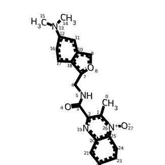 Cc1c(C(=O)NCc2occ3cc(N(C)C)ccc23)nc2ccccc2[n+]1[O-]